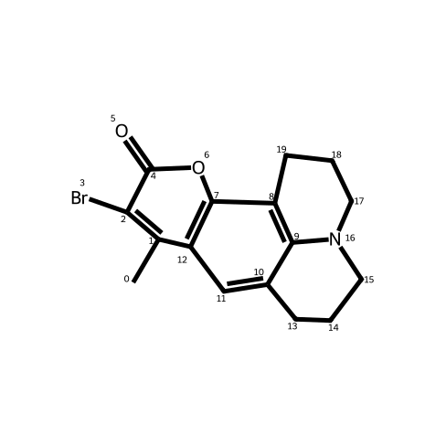 Cc1c(Br)c(=O)oc2c3c4c(cc12)CCCN4CCC3